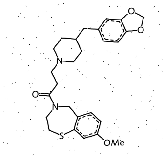 COc1ccc2c(c1)SCCN(C(=O)CCN1CCC(Cc3ccc4c(c3)OCO4)CC1)C2